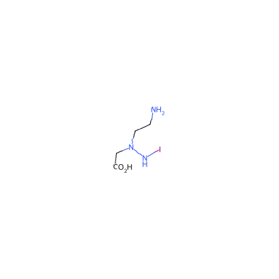 NCCN(CC(=O)O)NI